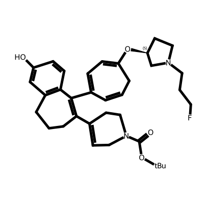 CC(C)(C)OC(=O)N1CC=C(C2=C(C3=CC=C(O[C@H]4CCN(CCCF)C4)CC=C3)c3ccc(O)cc3CCC2)CC1